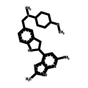 COC1CCC(N(C)Cc2ccc3c(c2)CC(c2cc(N)nc4[nH]c(C)nc24)N3)CC1